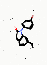 CCc1ccc2c(c1)N(c1ccc(Br)cc1)C(=O)C2